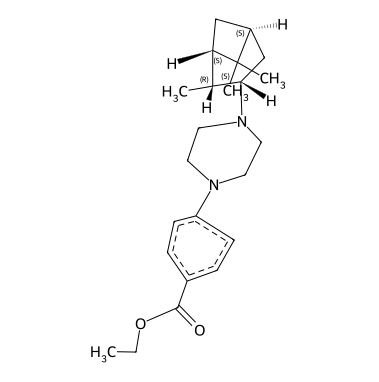 CCOC(=O)c1ccc(N2CCN([C@H]3C[C@@H]4C[C@@H]([C@H]3C)C4(C)C)CC2)cc1